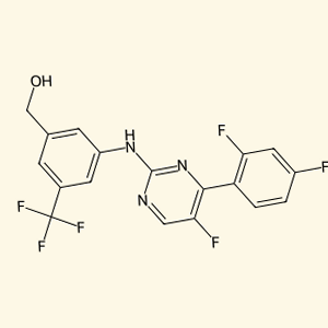 OCc1cc(Nc2ncc(F)c(-c3ccc(F)cc3F)n2)cc(C(F)(F)F)c1